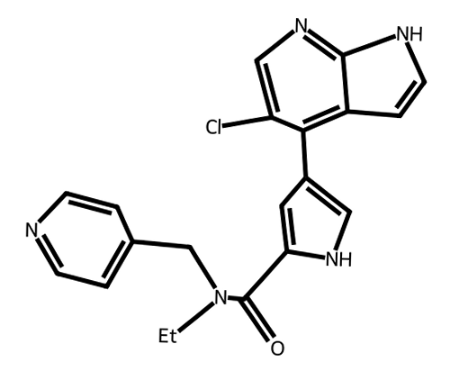 CCN(Cc1ccncc1)C(=O)c1cc(-c2c(Cl)cnc3[nH]ccc23)c[nH]1